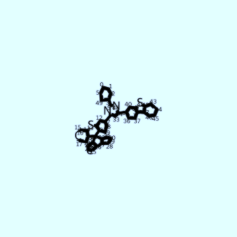 c1ccc(-c2nc(-c3ccc4c(c3)Sc3ccccc3C43c4ccccc4-c4ccccc43)cc(-c3ccc4c(c3)sc3ccccc34)n2)cc1